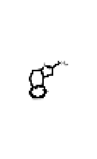 NC1=NC2CCc3ccccc3C2C1